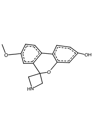 COc1ccc2c(c1)C1(CNC1)Oc1cc(O)ccc1-2